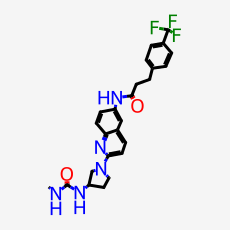 CNC(=O)NC1CCN(c2ccc3cc(NC(=O)CCc4ccc(C(F)(F)F)cc4)ccc3n2)C1